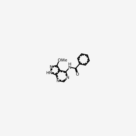 COc1n[nH]c2ncnc(NC(=O)c3ccccc3)c12